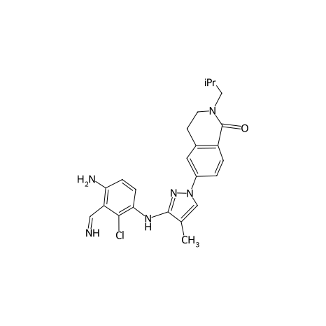 Cc1cn(-c2ccc3c(c2)CCN(CC(C)C)C3=O)nc1Nc1ccc(N)c(C=N)c1Cl